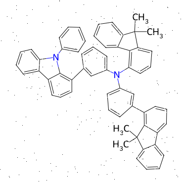 CC1(C)c2ccccc2-c2c(N(c3cccc(-c4cccc5c4C(C)(C)c4ccccc4-5)c3)c3cccc(-c4cccc5c6ccccc6n(-c6ccccc6)c45)c3)cccc21